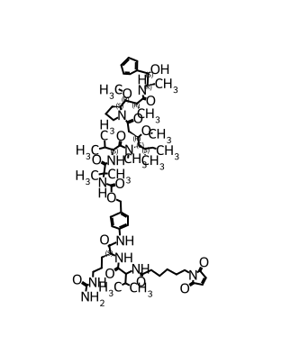 CC[C@H](C)[C@@H]([C@@H](CC(=O)N1CCC[C@H]1[C@H](OC)[C@@H](C)C(=O)N[C@H](C)[C@@H](O)c1ccccc1)OC)N(C)C(=O)[C@@H](NC(=O)C(C)(C)NC(=O)OCc1ccc(NC(=O)[C@H](CCCNC(N)=O)NC(=O)C(NC(=O)CCCCCN2C(=O)C=CC2=O)C(C)C)cc1)C(C)C